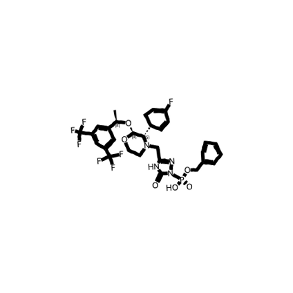 C[C@@H](O[C@H]1OCCN(Cc2nn(P(=O)(O)OCc3ccccc3)c(=O)[nH]2)[C@H]1C1C=CC(F)=CC1)c1cc(C(F)(F)F)cc(C(F)(F)F)c1